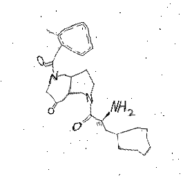 Cc1ccccc1C(=O)N1CC(=O)C2C1CCN2C(=O)[C@@H](N)CC1CCCCC1